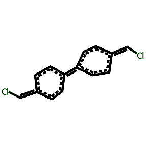 ClC=c1ccc(=c2ccc(=CCl)cc2)cc1